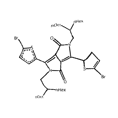 CCCCCCCCC(CCCCCC)CN1C(=O)C2=C(C3CC=C(Br)S3)N(CC(CCCCCC)CCCCCCCC)C(=O)C2=C1c1ccc(Br)s1